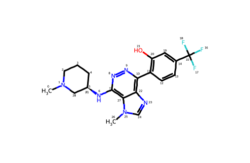 CN1CCC[C@@H](Nc2nnc(-c3ccc(C(F)(F)F)cc3O)c3ncn(C)c23)C1